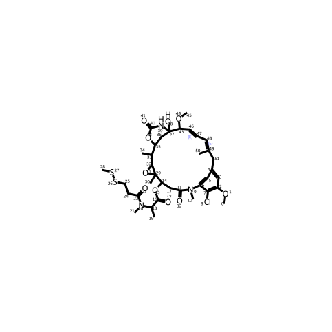 COc1cc2cc(c1Cl)N(C)C(=O)CC(OC(=O)C(C)N(C)C(=O)CCSSC)C1(C)OC1C(C)C1CC(O)(NC(=O)O1)C(OC)/C=C/C=C(\C)C2